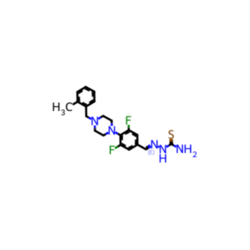 Cc1ccccc1CN1CCN(c2c(F)cc(/C=N/NC(N)=S)cc2F)CC1